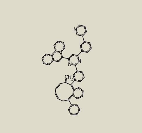 C=C1/C=C\C=C/C/C(c2ccccc2)=c2/cccc/c2=C/1c1cccc(-c2nc(-c3cccc(-c4cccnc4)c3)cc(-c3cc4ccccc4c4ccccc34)n2)c1